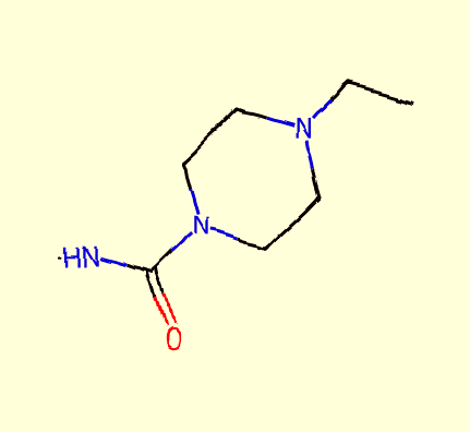 CCN1CCN(C([NH])=O)CC1